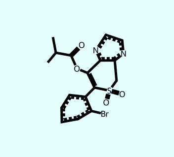 CC(C)C(=O)OC1=C(c2ccccc2Br)S(=O)(=O)Cc2nccnc21